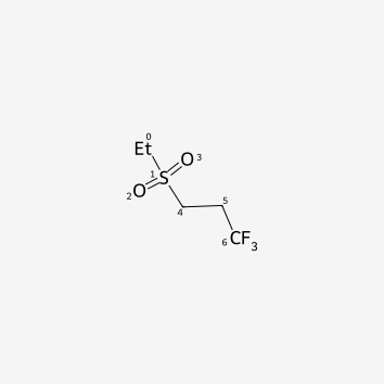 [CH2]CS(=O)(=O)CCC(F)(F)F